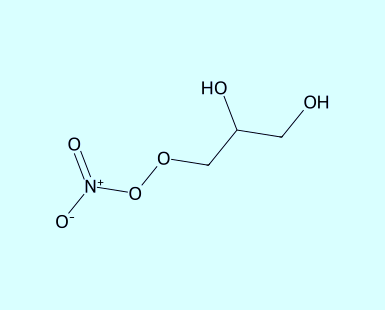 O=[N+]([O-])OOCC(O)CO